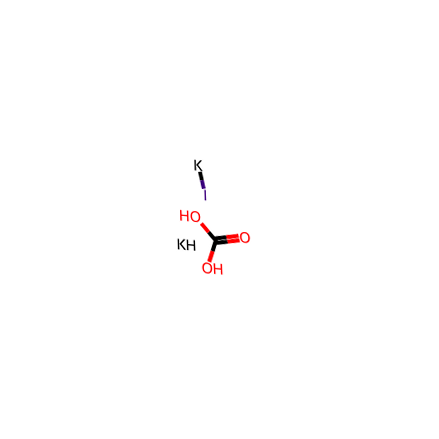 O=C(O)O.[KH].[K][I]